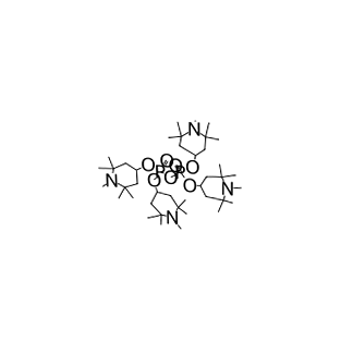 CN1C(C)(C)CC(OP(=O)(OC2CC(C)(C)N(C)C(C)(C)C2)OP(=O)(OC2CC(C)(C)N(C)C(C)(C)C2)OC2CC(C)(C)N(C)C(C)(C)C2)CC1(C)C